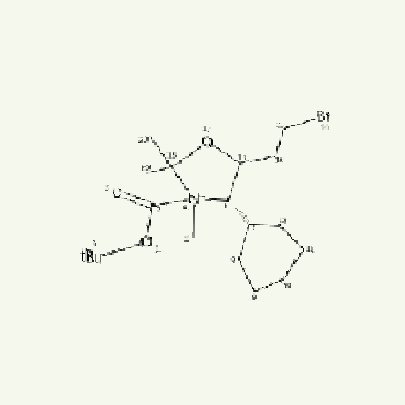 CC(C)(C)OC(=O)[N+]1(C)[C@@H](C2CCCCC2)C(CCBr)OC1(C)C